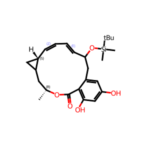 C[C@@H]1CC2C[C@@H]2/C=C\C=C\C(O[Si](C)(C)C(C)(C)C)Cc2cc(O)cc(O)c2C(=O)O1